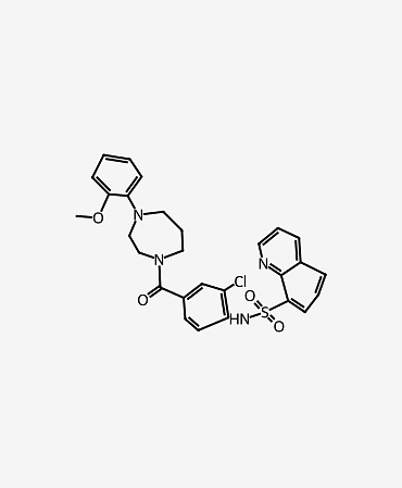 COc1ccccc1N1CCCN(C(=O)c2ccc(NS(=O)(=O)c3cccc4cccnc34)c(Cl)c2)CC1